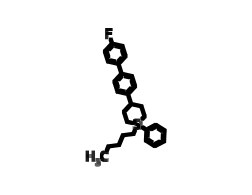 CCCCC[Si]1(c2ccccc2)CCC(c2ccc(-c3ccc(F)cc3)cc2)CC1